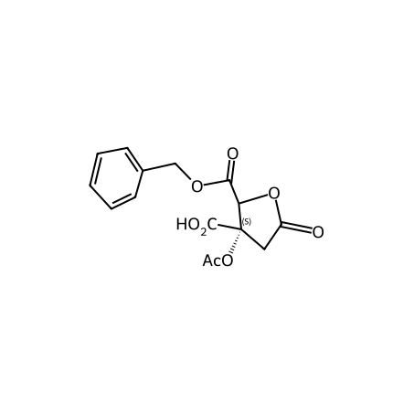 CC(=O)O[C@@]1(C(=O)O)CC(=O)OC1C(=O)OCc1ccccc1